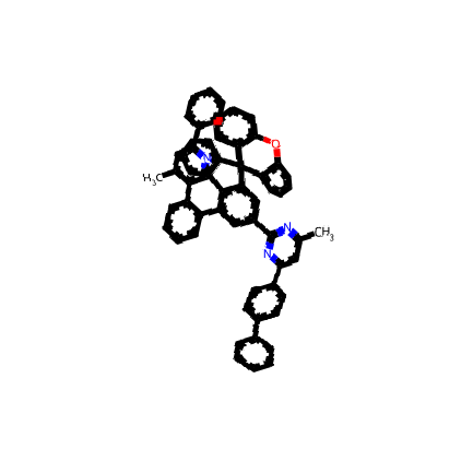 Cc1cc(-c2ccc(-c3ccccc3)cc2)nc(-c2cc(-c3ccccc3-c3cnc(-c4ccccc4)cc3C)c3c(c2)C2(c4ccccc4Oc4ccccc42)c2ccccc2-3)n1